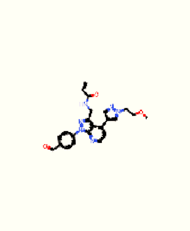 C=CC(=O)NCc1nn(-c2ccc(C=O)cc2)c2nccc(-c3cnn(CCOC)c3)c12